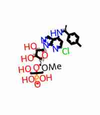 COCC(CO)(OC[C@H]1O[C@@H](n2ncc3c(N[C@@H](C)c4ccc(C)cc4)cc(Cl)nc32)[C@H](O)[C@@H]1O)P(=O)(O)O